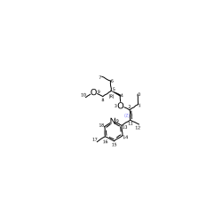 CC/C(OC[C@H](CC)COC)=C(\C)c1ccc(C)cn1